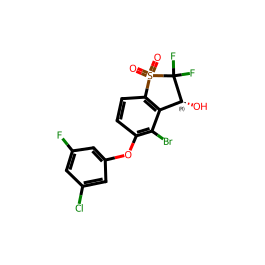 O=S1(=O)c2ccc(Oc3cc(F)cc(Cl)c3)c(Br)c2[C@@H](O)C1(F)F